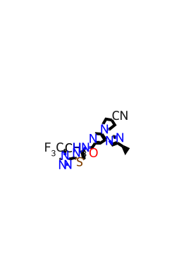 CC(n1cnnc1-c1nc(NC(=O)c2cc(-n3cnc(C4CC4)c3)c(N3CCC(C#N)CC3)cn2)cs1)C(F)(F)F